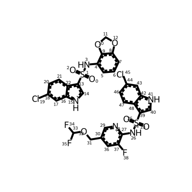 O=S(=O)(Nc1cccc2c1OCO2)c1c[nH]c2cc(Cl)ccc12.O=S(=O)(Nc1ncc(COC(F)F)cc1F)c1c[nH]c2cc(Cl)ccc12